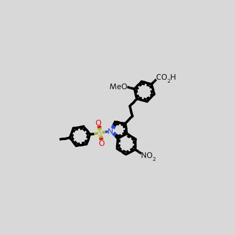 COc1cc(C(=O)O)ccc1CCc1cn(S(=O)(=O)c2ccc(C)cc2)c2ccc([N+](=O)[O-])cc12